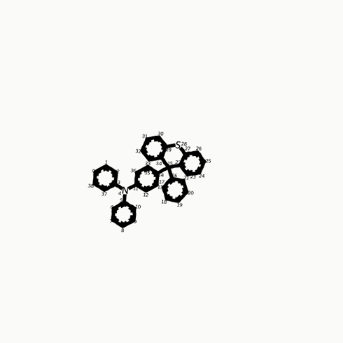 c1ccc(N(c2ccccc2)c2ccc(C3(c4ccccc4)c4ccccc4Sc4ccccc43)cc2)cc1